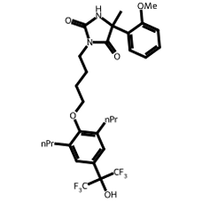 CCCc1cc(C(O)(C(F)(F)F)C(F)(F)F)cc(CCC)c1OCCCCN1C(=O)NC(C)(c2ccccc2OC)C1=O